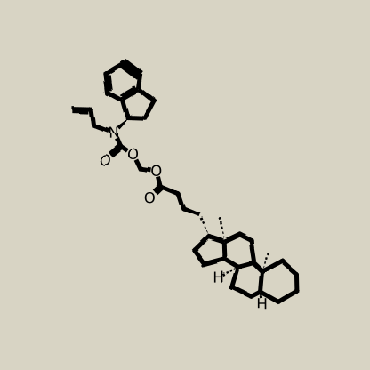 C=CCN(C(=O)OCOC(=O)CCC[C@H]1CCC2[C@@H]3CC[C@@H]4CCCC[C@]4(C)C3CC[C@@]21C)[C@@H]1CCc2c#cccc21